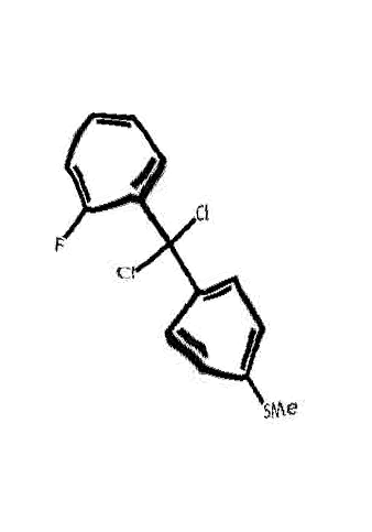 CSc1ccc(C(Cl)(Cl)c2ccccc2F)cc1